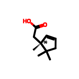 CC1(C)CC=C[C@]1(C)CC(=O)O